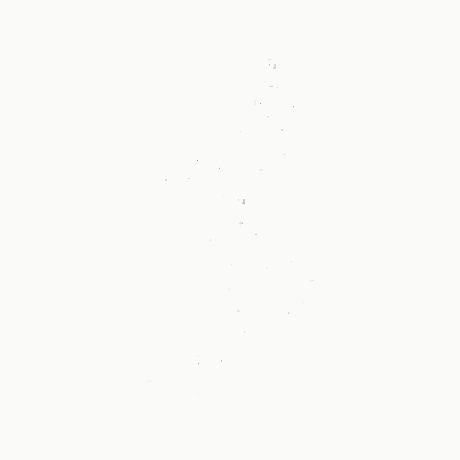 CC(C)(C)c1cc(NC(=O)C(=O)c2ccc(OCCN3CCOCC3)c3ccccc23)n(-c2cccc(NC(N)=O)c2)n1